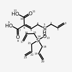 C=CC[SiH](CC=C(C(=O)O)C(=O)O)O[Si](CC=C)(CC=C)CC=C